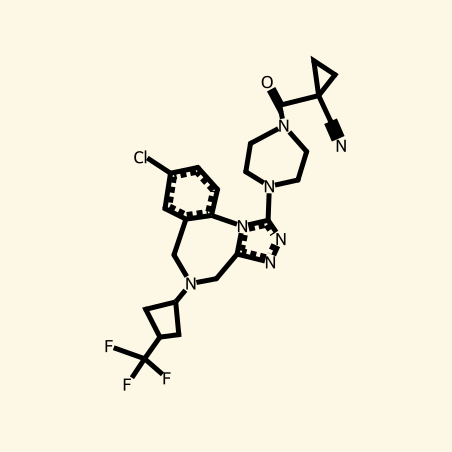 N#CC1(C(=O)N2CCN(c3nnc4n3-c3ccc(Cl)cc3CN(C3CC(C(F)(F)F)C3)C4)CC2)CC1